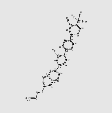 C=CCCc1ccc2cc(-c3ccc(-c4ccc(-c5ccc(C(F)(F)F)c(F)c5)cc4)c(F)c3)ccc2c1